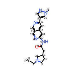 CC(C)CN1CCC(CC(=O)Nc2cc3cc(-c4cnn(C)c4)ncc3cn2)C1